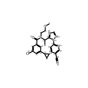 CSCCN(C(=O)c1cc(Cl)cc(C2CC2)c1)C(C)c1ncnn1-c1ccc(C#N)cn1